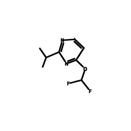 CC(C)c1n[c]cc(OC(F)F)n1